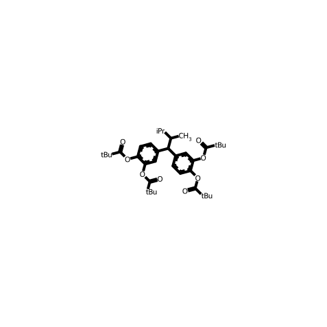 CC(C)C(C)C(c1ccc(OC(=O)C(C)(C)C)c(OC(=O)C(C)(C)C)c1)c1ccc(OC(=O)C(C)(C)C)c(OC(=O)C(C)(C)C)c1